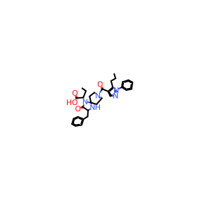 CCCc1c(C(=O)N2CCC3(CC2)NC(Cc2ccccc2)C(=O)N3C(CC)C(=O)O)cnn1-c1ccccc1